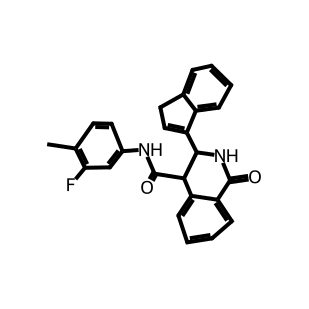 Cc1ccc(NC(=O)C2c3ccccc3C(=O)NC2C2=CCc3ccccc32)cc1F